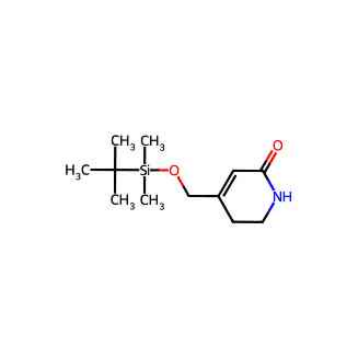 CC(C)(C)[Si](C)(C)OCC1=CC(=O)NCC1